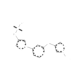 CCCS(=O)(=O)Nc1cnn(-c2ccnc(Nc3cnn(C)c3)c2)c1